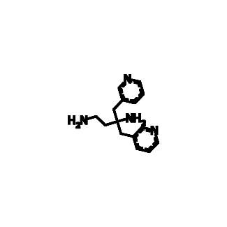 NCCC(N)(Cc1cccnc1)Cc1cccnc1